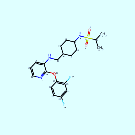 CC(C)S(=O)(=O)NC1CCC(CNc2cccnc2Oc2ccc(F)cc2F)CC1